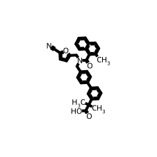 Cc1ccc2ccccc2c1C(=O)N(Cc1ccc(-c2cccc(C(C)(C)C(=O)O)c2)cc1)Cc1ccc(C#N)o1